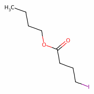 CCCCOC(=O)CCCI